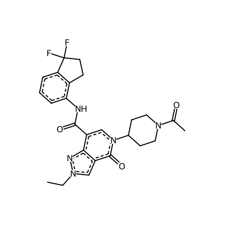 CCn1cc2c(=O)n(C3CCN(C(C)=O)CC3)cc(C(=O)Nc3cccc4c3CCC4(F)F)c2n1